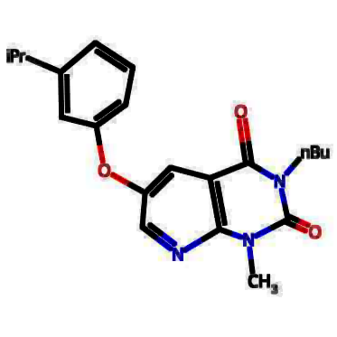 CCCCn1c(=O)c2cc(Oc3cccc(C(C)C)c3)cnc2n(C)c1=O